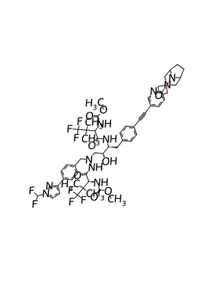 COC(=O)NC(C(=O)N[C@@H](Cc1ccc(C#Cc2ccc(N3CC4CCC(C3)N4C3COC3)nc2)cc1)[C@@H](O)CN(Cc1ccc(-c2ccn(C(F)F)n2)cc1)NC(=O)[C@@H](NC(=O)OC)C(C)(C)C(F)(F)F)C(C)(C)C(F)(F)F